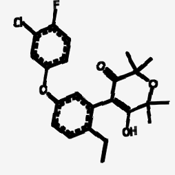 CCc1ccc(Oc2ccc(F)c(Cl)c2)cc1C1=C(O)C(C)(C)OC(C)(C)C1=O